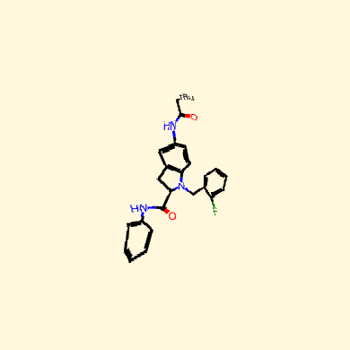 CC(C)(C)CC(=O)Nc1ccc2c(c1)CC(C(=O)Nc1ccccc1)N2Cc1ccccc1F